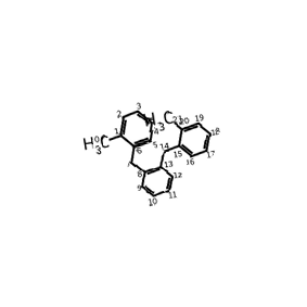 Cc1ccccc1Cc1[c]cccc1Cc1ccccc1C